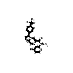 CN(C(=O)c1cn2c(-c3ccc(C(F)(F)F)cc3)cnc2cn1)c1cc(F)ccn1